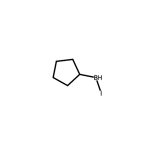 IBC1CCCC1